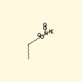 CCCCCCCC/C=C\CCCCCCCC(=O)OCCN(CCOC=O)CCN(CC)CC